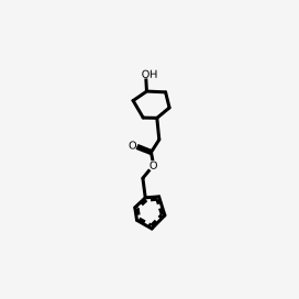 O=C(CC1CCC(O)CC1)OCc1ccccc1